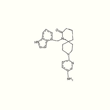 Nc1ccc(N2CCC3(CCCC(=O)N3Cc3cccc4[nH]ccc34)CC2)nc1